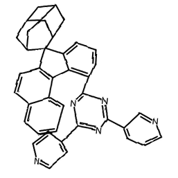 c1cncc(-c2nc(-c3ccncc3)nc(-c3cccc4c3-c3c(ccc5ccccc35)C43C4CC5CC(C4)CC3C5)n2)c1